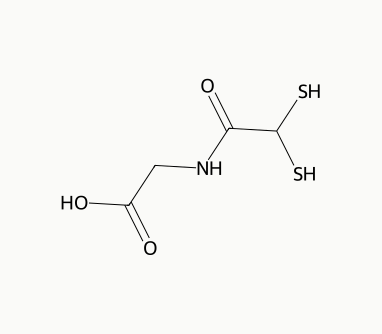 O=C(O)CNC(=O)C(S)S